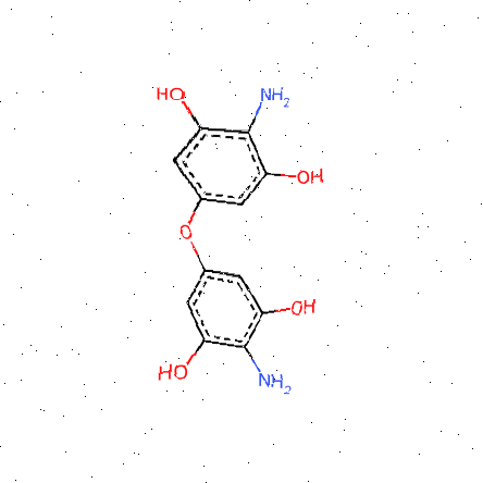 Nc1c(O)cc(Oc2cc(O)c(N)c(O)c2)cc1O